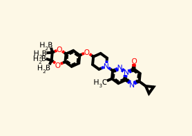 BC1(B)Oc2ccc(OC3CCN(c4nn5c(=O)cc(C6CC6)nc5cc4C)CC3)cc2OC1(B)B